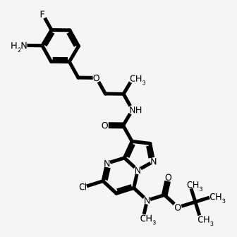 CC(COCc1ccc(F)c(N)c1)NC(=O)c1cnn2c(N(C)C(=O)OC(C)(C)C)cc(Cl)nc12